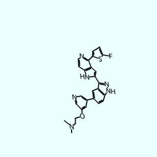 CN(C)CCOc1cncc(-c2ccc3[nH]nc(-c4cc5c(-c6ccc(F)s6)nccc5[nH]4)c3c2)c1